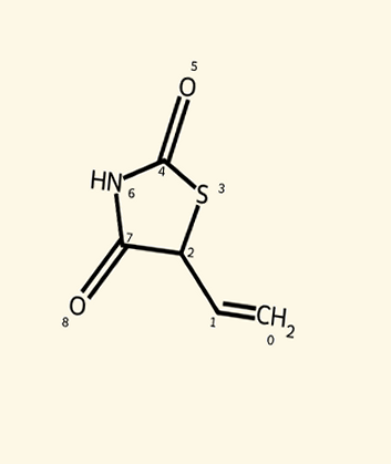 C=CC1SC(=O)NC1=O